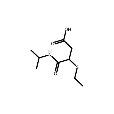 CCSC(CC(=O)O)C(=O)NC(C)C